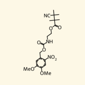 COc1cc(COC(=O)NCCOC(=O)C(C)(C)C(C)(C)C#N)c([N+](=O)[O-])cc1OC